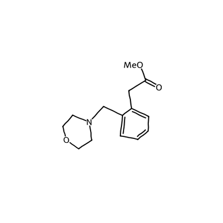 COC(=O)Cc1ccccc1CN1CCOCC1